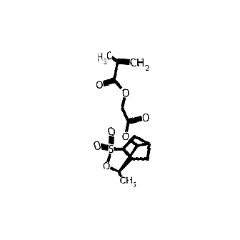 C=C(C)C(=O)OCC(=O)OC1C2CC3C(C2)S(=O)(=O)OC31C